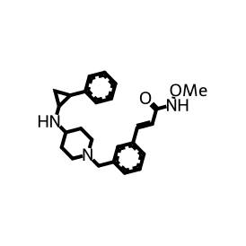 CONC(=O)/C=C/c1cccc(CN2CCC(NC3CC3c3ccccc3)CC2)c1